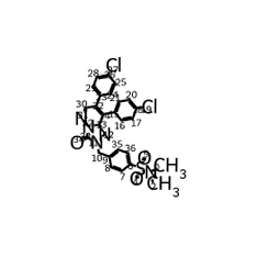 CN(C)S(=O)(=O)c1ccc(Cn2nc3c(-c4ccc(Cl)cc4)c(-c4ccc(Cl)cc4)cnn3c2=O)cc1